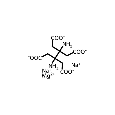 NC(CC(=O)[O-])(CC(=O)[O-])C(N)(CC(=O)[O-])CC(=O)[O-].[Mg+2].[Na+].[Na+]